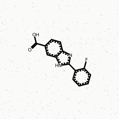 O=C(O)c1ccc2nc(-c3ccccc3F)[nH]c2c1